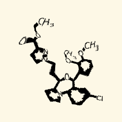 CCOC(=O)c1ccn(CCC2OC(c3cccc(OC)c3OC)c3cc(Cl)ccc3-n3cccc32)n1